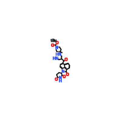 CC1(N/C=C(\C=N)C(=O)c2ccc3c4c(cccc24)C(=O)N3C2CCC(=O)NC2=O)CCN(C(=O)OC(C)(C)C)CC1